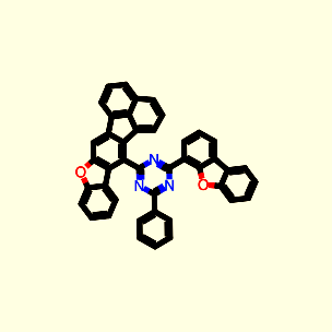 c1ccc(-c2nc(-c3cccc4c3oc3ccccc34)nc(-c3c4c(cc5oc6ccccc6c35)-c3cccc5cccc-4c35)n2)cc1